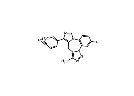 C#C/C=C\C(=C/C)c1ncn2c1Cc1c(C)nnn1-c1cc(F)ccc1-2